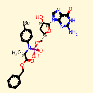 C[C@@H](C(=O)OCc1ccccc1)N(c1ccc(C(C)(C)C)cc1)P(=O)(O)OC[C@@H]1C[C@@H](O)[C@H](n2cnc3c(=O)[nH]c(N)nc32)O1